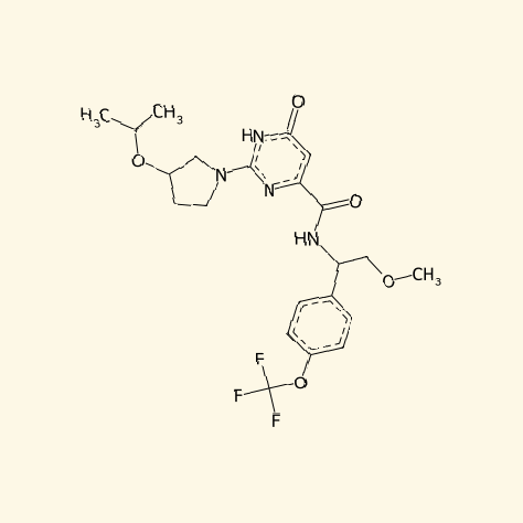 COCC(NC(=O)c1cc(=O)[nH]c(N2CCC(OC(C)C)C2)n1)c1ccc(OC(F)(F)F)cc1